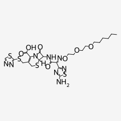 CCCCCCOCCOCCON=C(C(=O)NC1C(=O)N2C(C(=O)O)=C(CSc3nncs3)CS[C@@H]12)c1nsc(N)n1